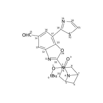 CC(C)(C)OC(=O)N1C2CC1CN(c1nc3cc(C=O)cc(-c4nccs4)c3o1)C2